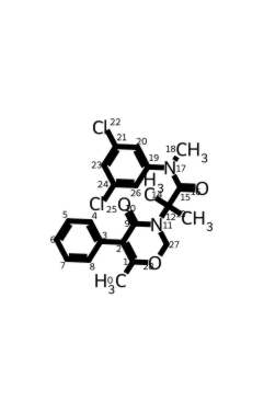 CC1=C(c2ccccc2)C(=O)N(C(C)(C)C(=O)N(C)c2cc(Cl)cc(Cl)c2)CO1